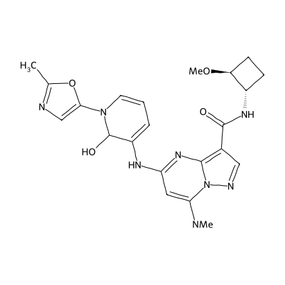 CNc1cc(NC2=CC=CN(c3cnc(C)o3)C2O)nc2c(C(=O)N[C@H]3CC[C@@H]3OC)cnn12